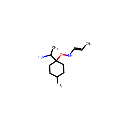 CC=CNOC1(C(C)N)CCC(C)CC1